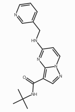 CC(C)(C)NC(=O)c1cnn2ccc(NCc3cccnc3)nc12